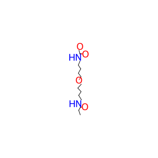 CCC(=O)NCCCCCOCCCCCNC(=O)COC